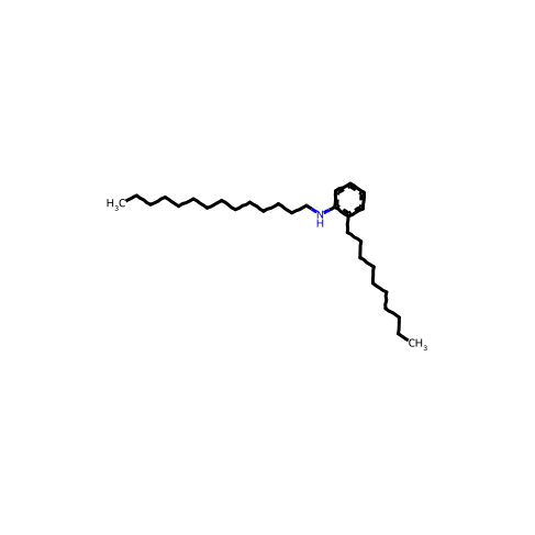 CCCCCCCCCCCCCCNc1ccccc1CCCCCCCCCC